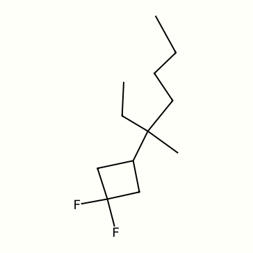 CCCCC(C)(CC)C1CC(F)(F)C1